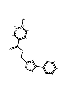 O=C(NCc1cc(-c2ccccc2)no1)c1ccc(C(F)(F)F)nc1